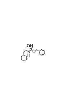 O=C(NC(CO)CC1CCCCC1)OCc1ccccc1